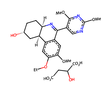 CCOc1cc2c(cc1OC)C(c1cnc(OC)nc1OC)=N[C@@H]1CC[C@@H](O)C[C@H]21.O=C(O)CC(O)C(=O)O